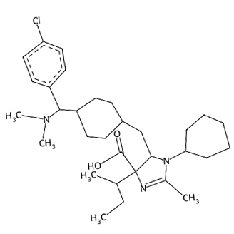 CCC(C)C1(C(=O)O)N=C(C)N(C2CCCCC2)C1CC1CCC(C(c2ccc(Cl)cc2)N(C)C)CC1